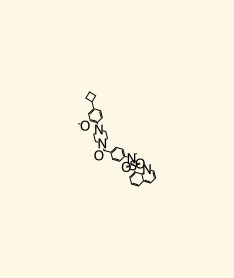 COc1cc(C2CCC2)ccc1N1CCN(C(=O)c2ccc(N(C)S(=O)(=O)c3cccc4cccnc34)cc2)CC1